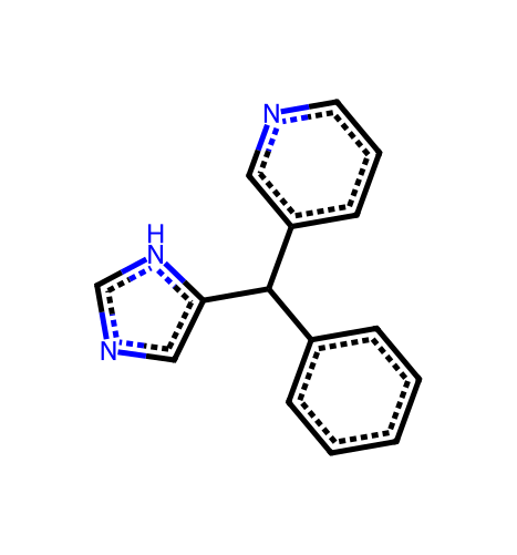 c1ccc(C(c2cccnc2)c2cnc[nH]2)cc1